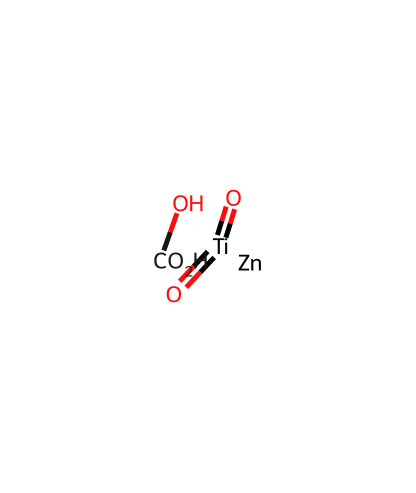 O=C(O)O.[O]=[Ti]=[O].[Zn]